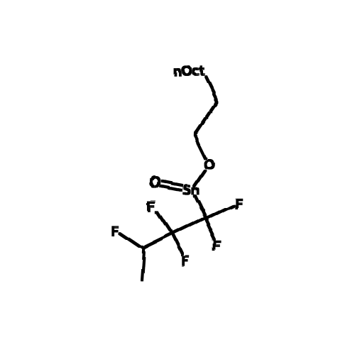 CCCCCCCCCC[O][Sn](=[O])[C](F)(F)C(F)(F)C(C)F